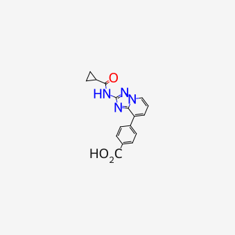 O=C(O)c1ccc(-c2cccn3nc(NC(=O)C4CC4)nc23)cc1